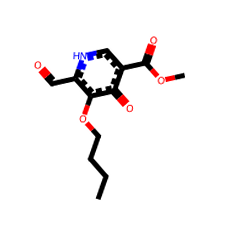 CCCCOc1c(C=O)[nH]cc(C(=O)OC)c1=O